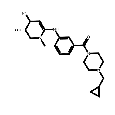 CC(C)C1C=C(Nc2cccc(C(=O)N3CCN(CC4CC4)CC3)c2)N(C)C[C@@H]1C